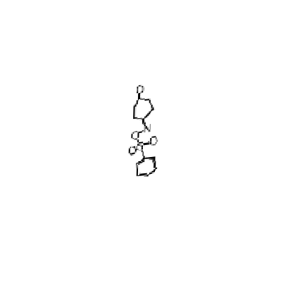 O=C1CCC(=NOS(=O)(=O)c2ccccc2)CC1